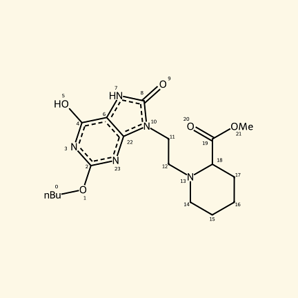 CCCCOc1nc(O)c2[nH]c(=O)n(CCN3CCCCC3C(=O)OC)c2n1